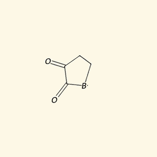 O=C1[B]CCC1=O